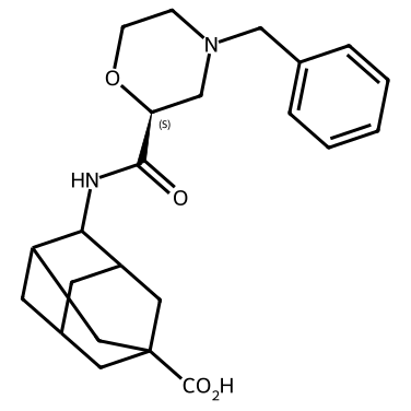 O=C(NC1C2CC3CC1CC(C(=O)O)(C3)C2)[C@@H]1CN(Cc2ccccc2)CCO1